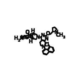 CN1CCCC1COc1nc2c(c(N3C[C@H]4C[C@@H](CCN)[C@@H](C3)N4C(=O)O)n1)CCN(c1cccc3cccc(Cl)c13)C2